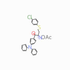 CC(=O)O/N=C(\CCSc1ccc(Cl)cc1)C(=O)c1ccc(N(c2ccccc2)c2ccccc2)cc1